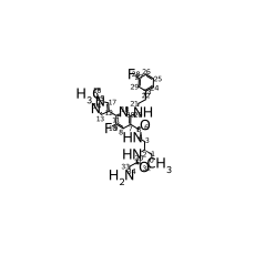 CC[C@H](CNC(=O)c1cc(F)c(-c2cnn(C)c2)nc1NCCc1cccc(F)c1)NC(=O)CN